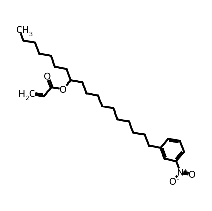 C=CC(=O)OC(CCCCCCC)CCCCCCCCCCc1cccc([N+](=O)[O-])c1